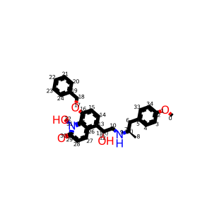 COc1ccc(C[C@@H](C)NC[C@H](O)c2ccc(OCc3ccccc3)c3c2ccc(=O)n3O)cc1